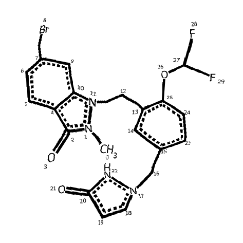 Cn1c(=O)c2ccc(Br)cc2n1Cc1cc(Cn2ccc(=O)[nH]2)ccc1OC(F)F